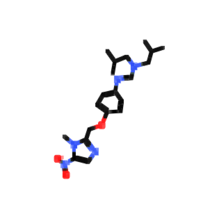 CC(C)CN(C=Nc1ccc(OCc2ncc([N+](=O)[O-])n2C)cc1)CC(C)C